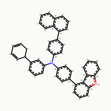 C1=CCC(c2cccc(N(c3ccc(-c4cccc5ccccc45)cc3)c3ccc(-c4cccc5oc6ccccc6c45)cc3)c2)C=C1